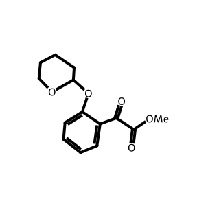 COC(=O)C(=O)c1ccccc1OC1CCCCO1